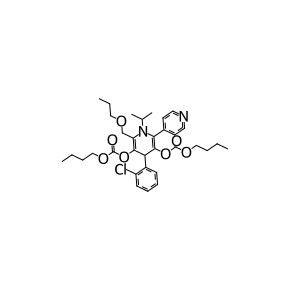 CCCCOC(=O)OC1=C(COCCC)N(C(C)C)C(c2ccncc2)=C(OC(=O)OCCCC)C1c1ccccc1Cl